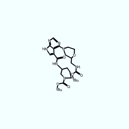 CC(C)(C)OC(=O)NCC1CN(c2ncnc3[nH]cc(C(=O)NC4CCCN(C(=O)OC(C)(C)C)C4)c23)CCO1